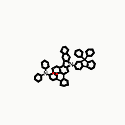 c1ccc(N(c2ccccc2)c2ccc(-c3ccccc3-c3cc4c(c5ccccc35)c3cc5ccccc5cc3n4-c3ccc4c(c3)C(c3ccccc3)(c3ccccc3)c3ccccc3-4)cc2)cc1